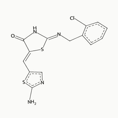 Nc1ncc(/C=C2\S/C(=N\Cc3ccccc3Cl)NC2=O)s1